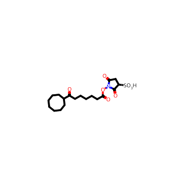 O=C(CCCCCC(=O)C1CCCCCCC1)ON1C(=O)CC(S(=O)(=O)O)C1=O